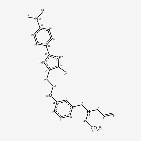 C=CCN(CC(=O)OCC)Cc1cccc(OCCc2nc(-c3ccc(N(C)C)cc3)oc2C)c1